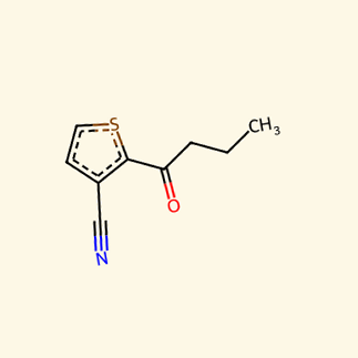 CCCC(=O)c1sccc1C#N